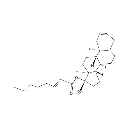 C#C[C@]1(OC(=O)/C=C/CCCCC)CC[C@H]2[C@@H]3CCC4CC=CC[C@@H]4[C@H]3CC[C@@]21C